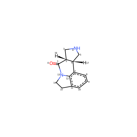 O=C1[C@@H]2CNC[C@@H]2c2cccc3c2N1CC3